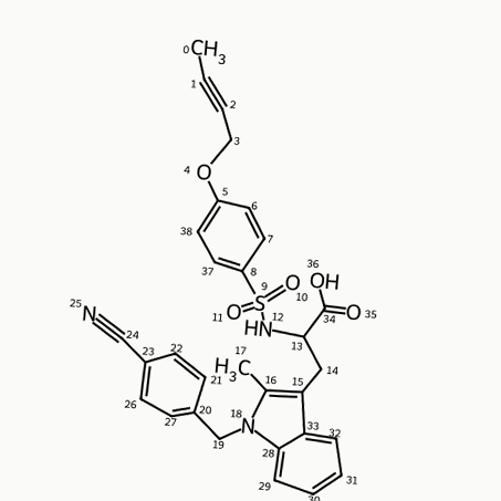 CC#CCOc1ccc(S(=O)(=O)NC(Cc2c(C)n(Cc3ccc(C#N)cc3)c3ccccc23)C(=O)O)cc1